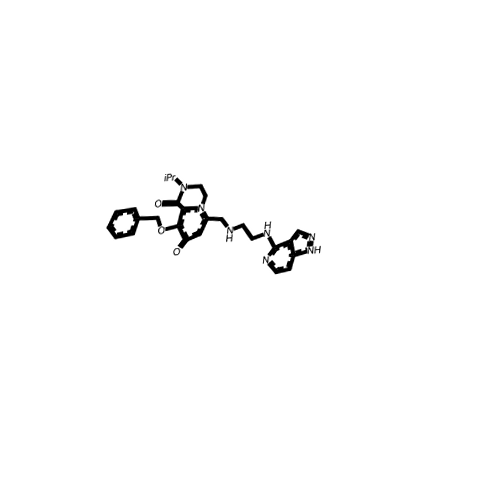 CC(C)N1CCn2c(CNCCNc3nccc4[nH]ncc34)cc(=O)c(OCc3ccccc3)c2C1=O